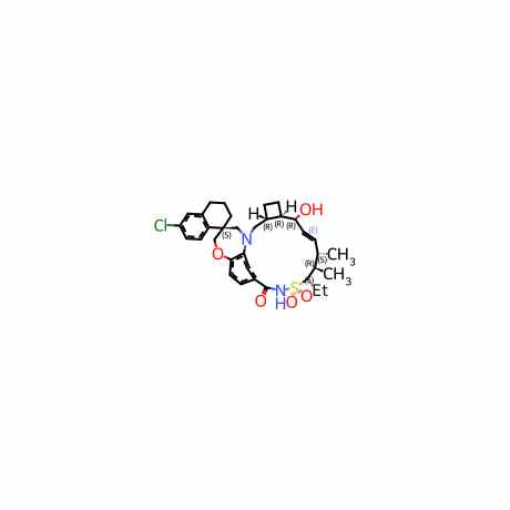 CC[C@H]1[C@H](C)[C@@H](C)/C=C/[C@H](O)[C@@H]2CC[C@H]2CN2C[C@@]3(CCCc4cc(Cl)ccc43)COc3ccc(cc32)C(=O)NS1(=O)=O